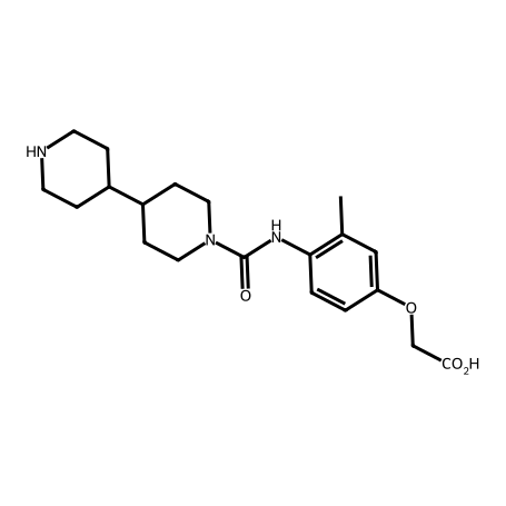 Cc1cc(OCC(=O)O)ccc1NC(=O)N1CCC(C2CCNCC2)CC1